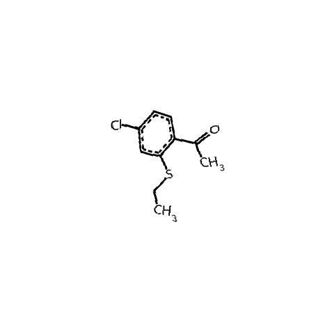 CCSc1cc(Cl)ccc1C(C)=O